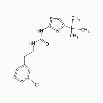 CC(C)(C)c1csc(NC(=O)NCCc2cccc(Cl)c2)n1